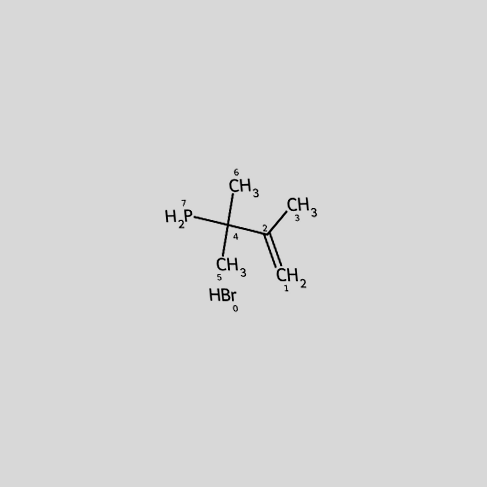 Br.C=C(C)C(C)(C)P